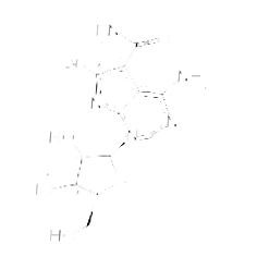 NC(=O)c1c(Br)nc2n([C@H]3O[C@@H](CO)C(O)C3O)cnc(N)c1-2